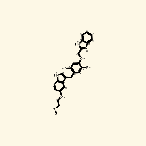 COCCOc1cnc2[nH]cc(Cc3cc(F)c(OCc4nc5ccccc5[nH]4)cc3F)c2c1